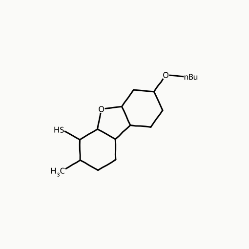 CCCCOC1CCC2C(C1)OC1C(S)C(C)CCC21